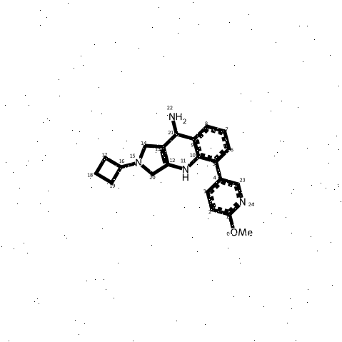 COc1ccc(-c2cccc3c2NC2=C(CN(C4CCC4)C2)C3N)cn1